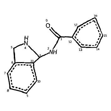 O=C(NC1NCc2ccccc21)c1ccccc1